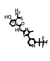 Cc1nc(NC(=O)N2CC[C@H](O)[C@H]2C(N)=S)sc1-c1ccnc(C(C)(C)C(F)(F)F)c1